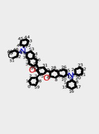 c1ccc(-c2c3oc4cc5cc(N(c6ccccc6)c6ccccc6)ccc5cc4c3cc3c2oc2cc4cc(N(c5ccccc5)c5ccccc5)ccc4cc23)cc1